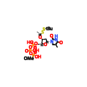 COP(=O)(O)OP(=O)(O)OP(=O)(O)OC[C@H]1O[C@@H](n2cc(C)c(=O)[nH]c2=O)CC1O[C@H](C)SSC(C)(C)C